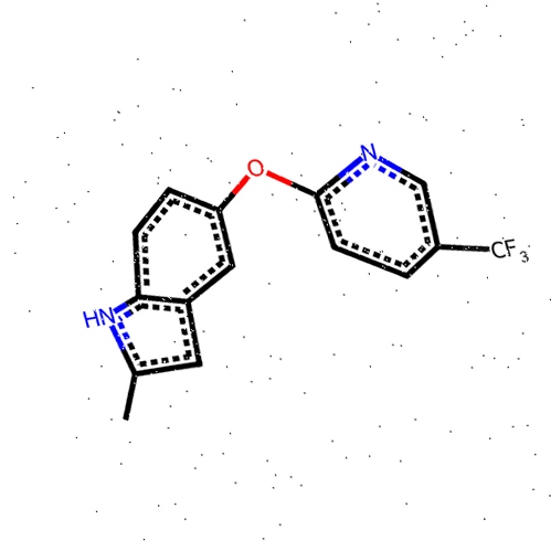 Cc1cc2cc(Oc3ccc(C(F)(F)F)cn3)ccc2[nH]1